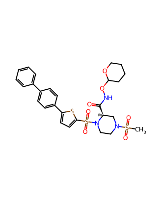 CS(=O)(=O)N1CCN(S(=O)(=O)c2ccc(-c3ccc(-c4ccccc4)cc3)s2)[C@@H](C(=O)NOC2CCCCO2)C1